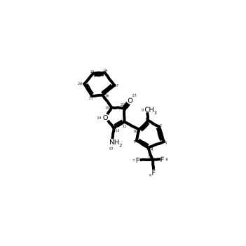 Cc1ccc(C(F)(F)F)cc1C1=C(N)OC(c2ccccc2)C1=O